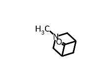 CN1CC2CC(C1)C2=O